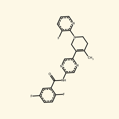 CC1=C(c2cnc(NC(=O)c3cc(F)ccc3F)cn2)CN(c2ncccc2F)CC1